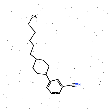 CCCCCCC1CCC(c2cccc(C#N)c2)CC1